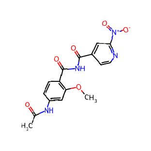 COc1cc(NC(C)=O)ccc1C(=O)NC(=O)c1ccnc([N+](=O)[O-])c1